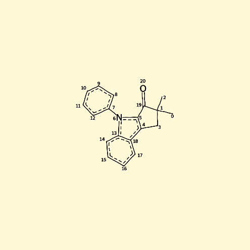 CC1(C)Cc2c(n(-c3ccccc3)c3ccccc23)C1=O